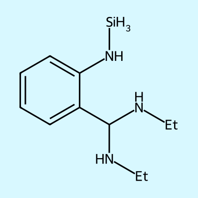 CCNC(NCC)c1ccccc1N[SiH3]